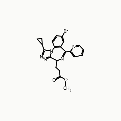 COC(=O)CCC1N=C(c2ccccn2)c2cc(Br)ccc2-n2c(C3CC3)nnc21